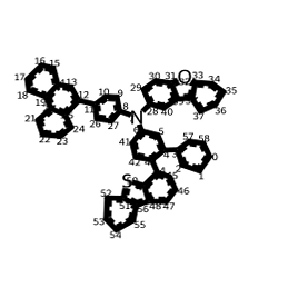 c1ccc(-c2cc(N(c3ccc(-c4cc5ccccc5c5ccccc45)cc3)c3ccc4oc5ccccc5c4c3)ccc2-c2cccc3c2sc2ccccc23)cc1